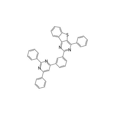 c1ccc(-c2cc(-c3cccc(-c4nc(-c5ccccc5)c5sc6ccccc6c5n4)c3)nc(-c3ccccc3)n2)cc1